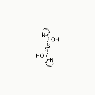 OC(CSSCC(O)c1ccccn1)c1ccccn1